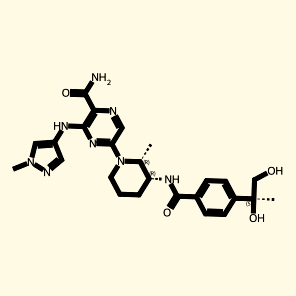 C[C@@H]1[C@H](NC(=O)c2ccc([C@](C)(O)CO)cc2)CCCN1c1cnc(C(N)=O)c(Nc2cnn(C)c2)n1